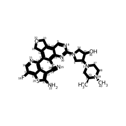 C[C@H]1CN(C2CN(c3ncc4c5c(c(-c6ncc(F)c7sc(N)c(C#N)c67)c(F)c4n3)COC5)CC2O)CCN1C